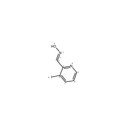 O/N=C/c1ncccc1I